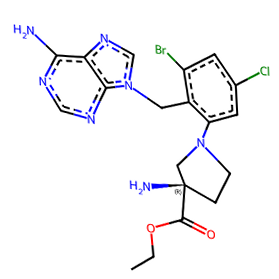 CCOC(=O)[C@@]1(N)CCN(c2cc(Cl)cc(Br)c2Cn2cnc3c(N)ncnc32)C1